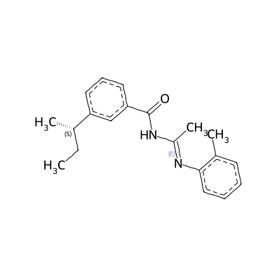 CC[C@H](C)c1cccc(C(=O)N/C(C)=N/c2ccccc2C)c1